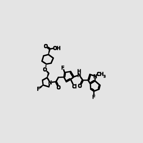 Cn1cc(C(=O)Nc2cc(F)c(CC(=O)N3C[C@@H](F)C[C@H]3CO[C@H]3CC[C@H](C(=O)O)CC3)cc2Cl)c2cc(F)ccc21